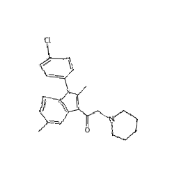 Cc1ccc2c(c1)c(C(=O)CN1CCCCC1)c(C)n2-c1ccc(Cl)cc1